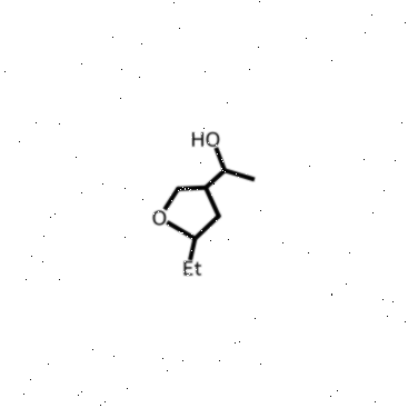 CCC1CC(C(C)O)CO1